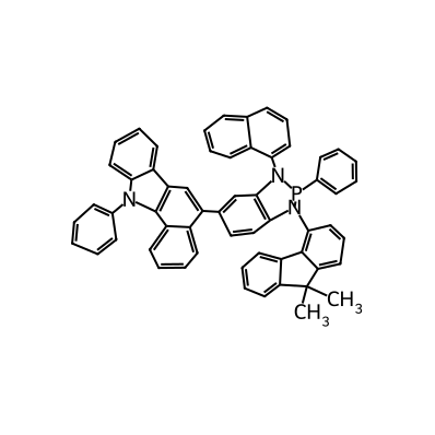 CC1(C)c2ccccc2-c2c(N3c4ccc(-c5cc6c7ccccc7n(-c7ccccc7)c6c6ccccc56)cc4N(c4cccc5ccccc45)P3c3ccccc3)cccc21